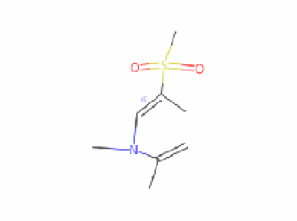 C=C(C)N(C)/C=C(\C)S(C)(=O)=O